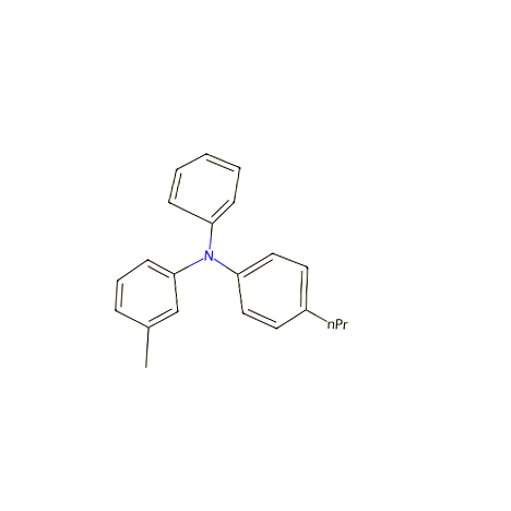 CCCc1ccc(N(c2ccccc2)c2cccc(C)c2)cc1